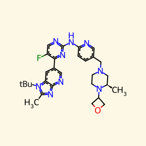 Cc1nc2ncc(-c3nc(Nc4ccc(CN5CCN(C6COC6)[C@H](C)C5)cn4)ncc3F)cc2n1C(C)(C)C